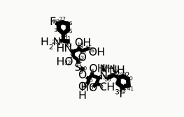 CC(O)C(C(O)C(CO)OCSC1OC(CO)C(O)C(N/C=C(\N)c2cccc(F)c2)C1O)N(N)/C=C(\N)c1cccc(F)c1